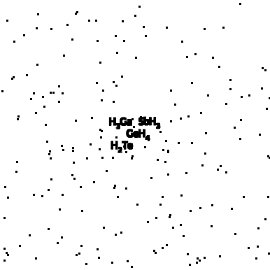 [GaH3].[GeH4].[SbH3].[TeH2]